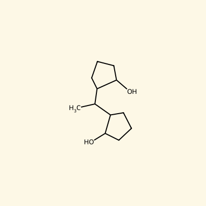 CC(C1CCCC1O)C1CCCC1O